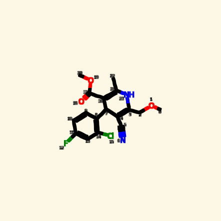 COCC1=C(C#N)C(c2ccc(F)cc2Cl)C(C(=O)OC)=C(C)N1